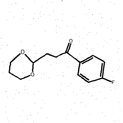 O=C(CCC1OCCCO1)c1ccc(F)cc1